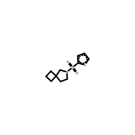 O=S(=O)(c1cccs1)N1CCC2(CCC2)C1